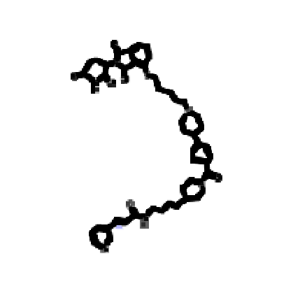 O=C(/C=C/c1cccnc1)NCCCCC1CCN(C(=O)c2ccc(C3CCN(CCCCCSc4cccc5c4C(=O)N(C4CCC(=O)NC4=O)C5=O)CC3)cc2)CC1